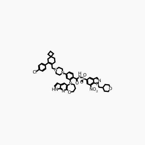 O=C(NS(=O)(=O)c1cc([N+](=O)[O-])c2c(cnn2CC2CCOCC2)c1)c1ccc(N2CCN(CC3=C(c4ccc(Cl)cc4)CC4(CCC4)CC3)CC2)cc1N1CCCOc2nc3[nH]ccc3cc21